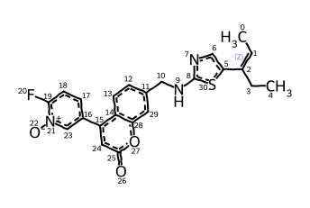 C/C=C(/CC)c1cnc(NCc2ccc3c(-c4ccc(F)[n+]([O-])c4)cc(=O)oc3c2)s1